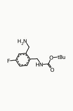 CC(C)(C)OC(=O)NCc1ccc(F)cc1CN